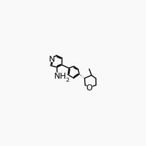 CC1CCOC[C@@H]1c1ccc(-c2ccncc2N)cc1